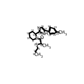 C=CCSC(C)C(=O)N1CCCCC1c1ncc(-c2ccc(C)cc2)[nH]1